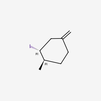 C=C1CC[C@@H](C)[C@H](I)C1